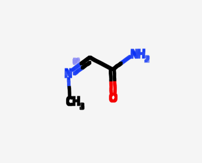 C/N=C\C(N)=O